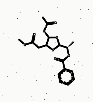 COC(=O)CC1SC([C@H](C)OC(=O)c2ccccc2)OC1OC(C)=O